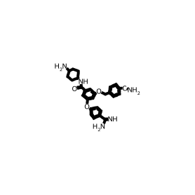 N=C(N)c1ccc(Oc2cc(OCc3ccc(CN)cc3)cc(C(=O)NC3CCC(N)CC3)c2)cc1